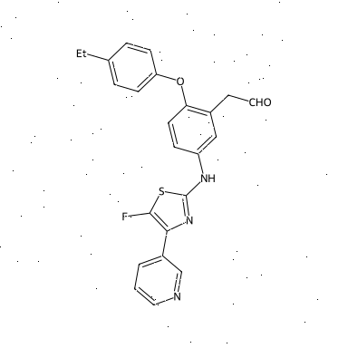 CCc1ccc(Oc2ccc(Nc3nc(-c4cccnc4)c(F)s3)cc2CC=O)cc1